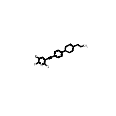 CCCC1CCC(c2ccc(C#Cc3cc(F)c(F)nc3Cl)cc2)CC1